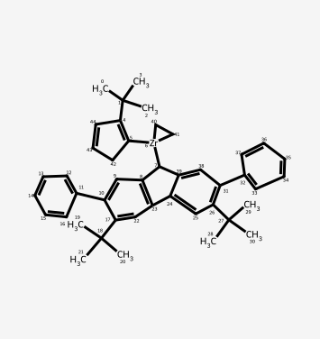 CC(C)(C)C1=[C]([Zr]2([CH]3c4cc(-c5ccccc5)c(C(C)(C)C)cc4-c4cc(C(C)(C)C)c(-c5ccccc5)cc43)[CH2][CH2]2)CC=C1